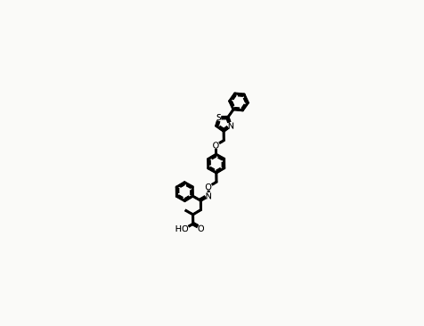 CC(CC(=NOCc1ccc(OCc2csc(-c3ccccc3)n2)cc1)c1ccccc1)C(=O)O